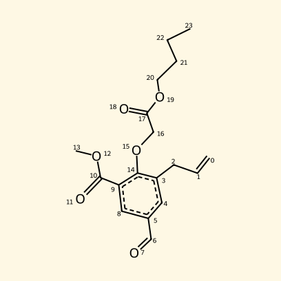 C=CCc1cc(C=O)cc(C(=O)OC)c1OCC(=O)OCCCC